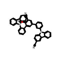 N#Cc1ccc2c(c1)c1ccccc1n2-c1cccc(-c2cc(C#N)c(C#N)c(-c3ccccc3-n3c4ccccc4c4ccccc43)c2)c1